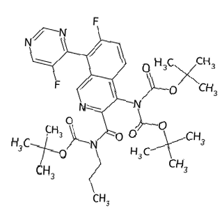 CCCN(C(=O)OC(C)(C)C)C(=O)c1ncc2c(-c3ncncc3F)c(F)ccc2c1N(C(=O)OC(C)(C)C)C(=O)OC(C)(C)C